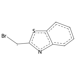 Br[CH]c1nc2ccccc2s1